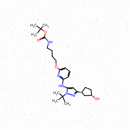 CC(C)(C)OC(=O)NCCCCOc1cccc(Nc2cc([C@H]3CC[C@@H](O)C3)nn2C(C)(C)C)n1